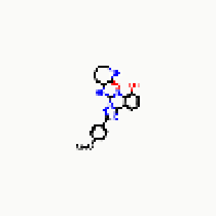 COc1ccc(-c2nc3c4cccc(O)c4nc(NC4CCCCNC4=O)n3n2)cc1